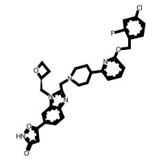 O=c1cc(-c2ccc3nc(CN4CCC(c5cccc(OCc6ccc(Cl)cc6F)n5)CC4)n(C[C@@H]4CCO4)c3c2)o[nH]1